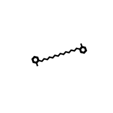 Cc1ccccc1CCCCCCCCCCCCCCc1ccccc1C